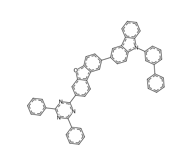 c1ccc(-c2cccc(-n3c4ccccc4c4cc(-c5ccc6oc7cc(-c8nc(-c9ccccc9)nc(-c9ccccc9)n8)ccc7c6c5)ccc43)c2)cc1